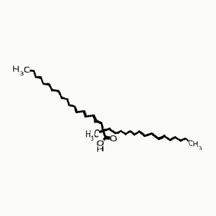 CCCCCCCCCCCCCCCCCCC(C)(CCCCCCCCCCCCCCCC)C(=O)O